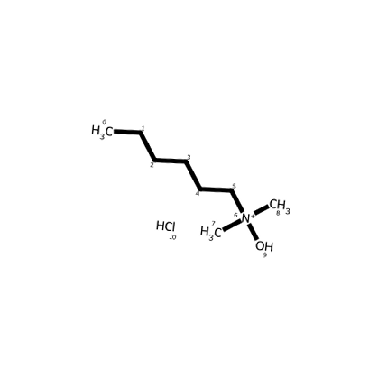 CCCCCC[N+](C)(C)O.Cl